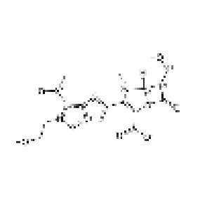 C[C@@H](O)[C@H]1C(=O)N2C(C(=O)[O-])=C(c3c[n+]4cn(CCO)c([S+](C)[O-])c4s3)[C@H](C)[C@H]12